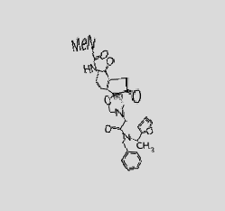 CNC(=O)NC1C=CC2=C(CC(=O)[C@]23CN(CC(=O)N(Cc2ccccc2)C(C)c2ccco2)CO3)C1=O